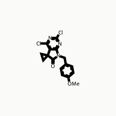 COc1ccc(CN2C(=O)C3(CC3)c3c(Cl)nc(Cl)nc32)cc1